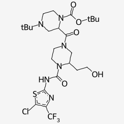 CC(C)(C)OC(=O)N1CCN(C(C)(C)C)CC1C(=O)N1CCN(C(=O)Nc2nc(C(F)(F)F)c(Cl)s2)C(CCO)C1